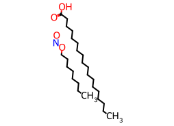 CCCCCCCCCCCCCCCCCC(=O)O.CCCCCCCCON=O